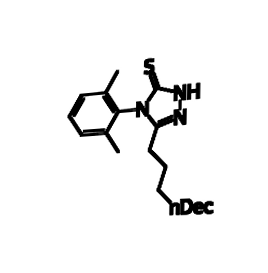 CCCCCCCCCCCCCc1n[nH]c(=S)n1-c1c(C)cccc1C